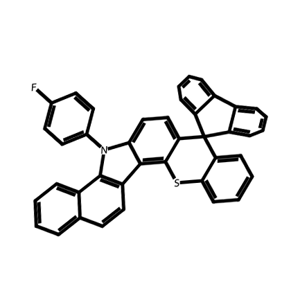 Fc1ccc(-n2c3ccc4c(c3c3ccc5ccccc5c32)Sc2ccccc2C42c3ccccc3-c3ccccc32)cc1